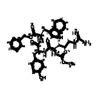 CC(C)(C)OC(=O)N[C@@H](CCCNC(=N)N)C(=O)N[C@@H](Cc1ccc(O)cc1)C(=O)N[C@@H](Cc1c[nH]c2ccccc12)C(=O)OCc1ccccc1